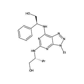 CCn1nnc2c(N[C@H](CO)c3ccccc3)nc(N[C@@H](CO)C(C)C)nc21